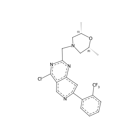 C[C@@H]1CN(Cc2nc(Cl)c3cnc(-c4ccccc4C(F)(F)F)cc3n2)C[C@H](C)O1